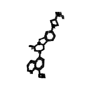 C[C@@H]1CN(c2ccc(C#N)c3ncccc23)CC2c3ccc(N4CC(N)C4)cc3CN21